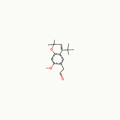 COc1cc2c(cc1CC=O)C(C(C)(C)C)=CC(C)(C)O2